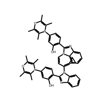 CC1=C(C)N(c2ccc(-c3nc4ccccc4n3/C=C\C(=C3CC3)n3c(-c4ccc(N5C(C)=C(C)OC(C)=C5C)cc4O)nc4ccccc43)c(O)c2)C(C)=C(C)O1